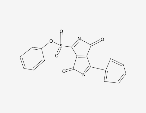 O=c1nc(S(=O)(=O)Oc2ccccc2)c2c(=O)nc(-c3ccccc3)c1=2